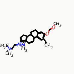 CCc1cc2c(cc1OCOC)CCC1C2CCC2(C)C(NCCN(C)C)CCC12